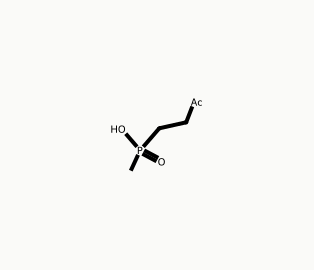 CC(=O)CCP(C)(=O)O